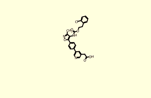 Cc1noc(-c2ccc(-c3cncc(CC(=O)O)c3)cc2)c1NC(=O)OCCc1ccccc1Cl